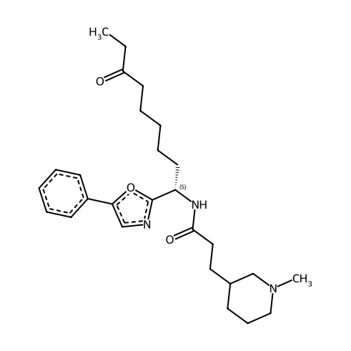 CCC(=O)CCCCC[C@H](NC(=O)CCC1CCCN(C)C1)c1ncc(-c2ccccc2)o1